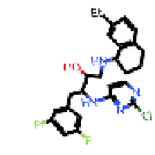 CCc1ccc2c(c1)C(NCC(O)C(Cc1cc(F)cc(F)c1)Nc1ccnc(Cl)n1)CCC2